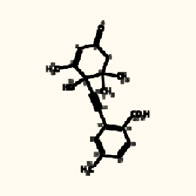 CC1=CC(=O)CC(C)(C(F)(F)F)C1(O)C#Cc1cc(C)ccc1C(=O)O